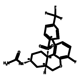 NC(=O)N[C@@H]1CC[C@@]2(S(=O)(=O)c3ccc(C(F)(F)F)cc3)c3c(F)ccc(F)c3OC[C@H]2C1